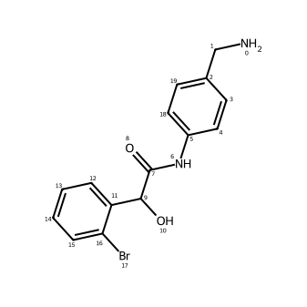 NCc1ccc(NC(=O)C(O)c2ccccc2Br)cc1